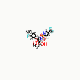 CC(O)[C@]1(O)CN(S(=O)(=O)c2ccc(C(F)F)cn2)C[C@@H]1Oc1ccc(C#N)c(F)c1